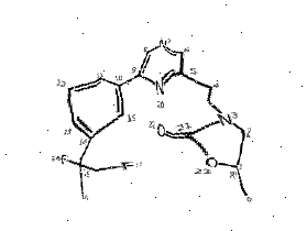 C[C@@H]1CN(Cc2cncc(-c3cccc(C(C)(F)F)c3)n2)C(=O)O1